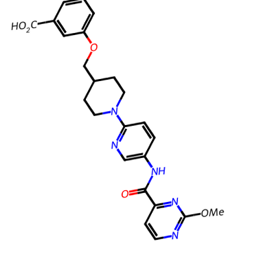 COc1nccc(C(=O)Nc2ccc(N3CCC(COc4cccc(C(=O)O)c4)CC3)nc2)n1